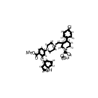 COC(=O)c1ccc(N2CCN(CC3=C(c4ccc(Cl)cc4)CCN(C(=O)OC(C)(C)C)C3)CC2)cc1Oc1cccc2[nH]ccc12